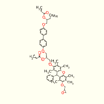 C=CC(=O)OC(COC)COc1ccc(-c2ccc(OCC(COc3c(C)c(C)c4c(c3C)C(c3ccccc3)c3c(C)c(OCC5CO5)c(C)c(C)c3O4)OC(=O)C=C)cc2)cc1